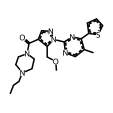 CCCN1CCN(C(=O)c2cnn(-c3ncc(C)c(-c4cccs4)n3)c2COC)CC1